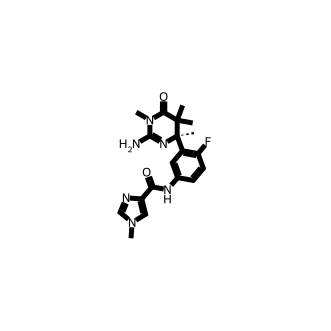 CN1C(=O)C(C)(C)[C@@](C)(c2cc(NC(=O)c3cn(C)cn3)ccc2F)N=C1N